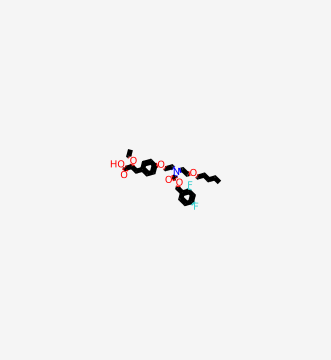 CCCCCOCCN(CCOc1ccc(CC(OCC)C(=O)O)cc1)C(=O)OCc1ccc(F)cc1F